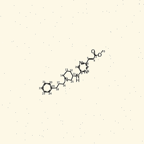 COC(=O)C=Cc1cnc(N[C@@H]2CCCN(CCCc3ccccc3)C2)cn1